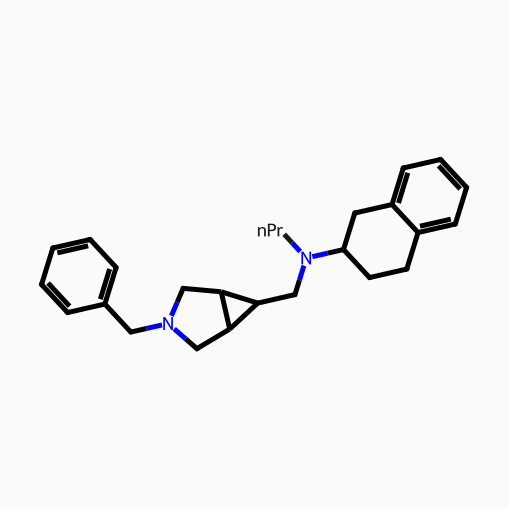 CCCN(CC1C2CN(Cc3ccccc3)CC21)C1CCc2ccccc2C1